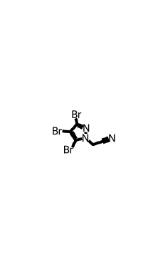 N#CCn1nc(Br)c(Br)c1Br